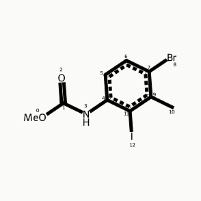 COC(=O)Nc1ccc(Br)c(C)c1I